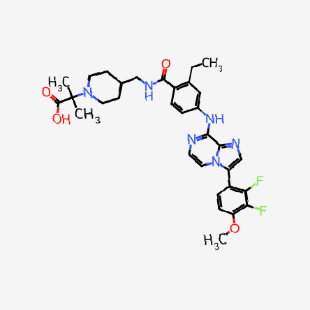 CCc1cc(Nc2nccn3c(-c4ccc(OC)c(F)c4F)cnc23)ccc1C(=O)NCC1CCN(C(C)(C)C(=O)O)CC1